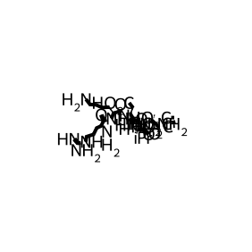 CC(=O)O.CC(=O)O.CC(=O)O.CC(C)[C@H](NC(=O)[C@H](CC(=O)O)NC(=O)[C@H](CCCCN)NC(=O)[C@@H](N)CCCNC(=N)N)C(=O)N[C@H](C)C(N)=O